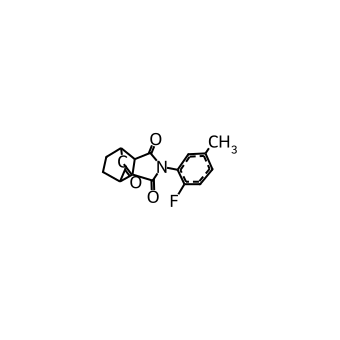 Cc1ccc(F)c(N2C(=O)C3C4CCC(C(=O)C4)C3C2=O)c1